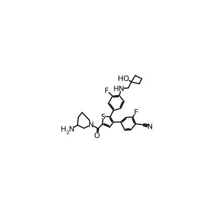 N#Cc1ccc(-c2cc(C(=O)N3CCCC(N)C3)sc2-c2ccc(NCC3(O)CCC3)c(F)c2)cc1F